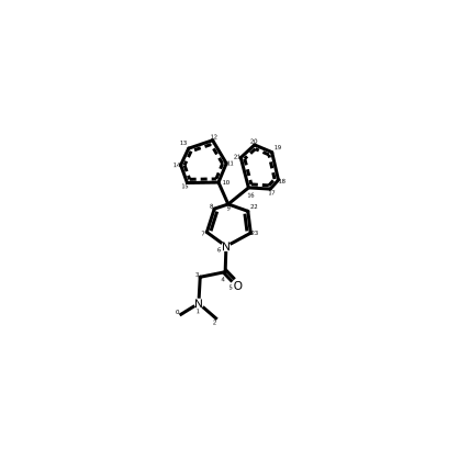 CN(C)CC(=O)N1C=CC(c2ccccc2)(c2ccccc2)C=C1